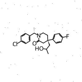 CC(O)C[C@]1(c2ccc(F)cc2)CCN([C@@H](C)c2ccc(Cl)cc2)C(=O)C1